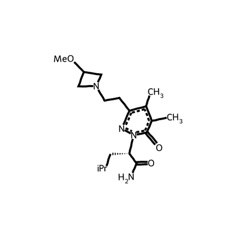 COC1CN(CCc2nn([C@@H](CC(C)C)C(N)=O)c(=O)c(C)c2C)C1